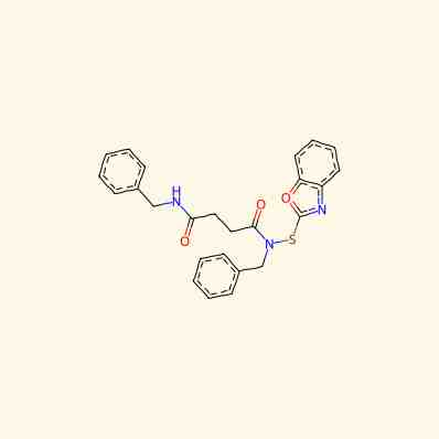 O=C(CCC(=O)N(Cc1ccccc1)Sc1nc2ccccc2o1)NCc1ccccc1